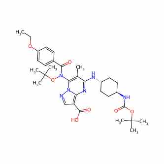 CCOc1ccc(C(=O)N(OC(C)(C)C)c2c(C)c(N[C@H]3CC[C@H](NC(=O)OC(C)(C)C)CC3)nc3c(C(=O)O)cnn23)cc1